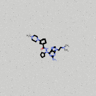 CN(C)CCn1cnc2c(N(NC(=O)c3cccc(N4CCN(C)CC4)c3)C3CCCC3)nc(N)nc21